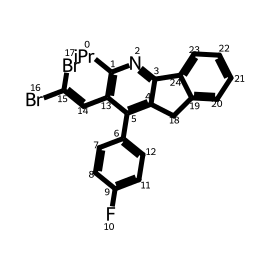 CC(C)c1nc2c(c(-c3ccc(F)cc3)c1C=C(Br)Br)Cc1ccccc1-2